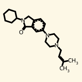 CC(C)=CCN1CCN(c2ccc3c(c2)C(=O)N(C2CCCCC2)C3)CC1